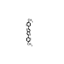 Cc1ccc(-c2cc3sc(-c4ccc(C)cn4)cc3s2)nc1